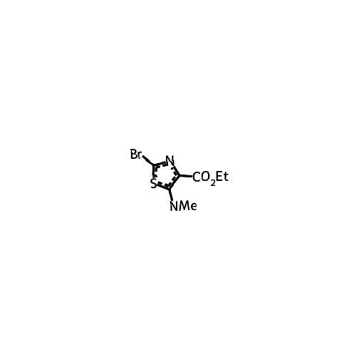 CCOC(=O)c1nc(Br)sc1NC